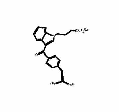 CCCC(CCC)Cc1ccc(C(=O)c2cn(CCCC(=O)OCC)c3ccccc23)cc1